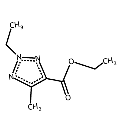 CCOC(=O)c1nn(CC)nc1C